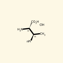 CCC[C@H](C)[C@H](N)C(=O)O.Cl